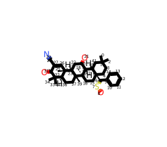 CC1(C)CC[C@]2(C(=S=O)c3ccccc3)CC[C@]3(C)[C@H](C(=O)C[C@@H]4[C@@]5(C)C=C(C#N)C(=O)C(C)(C)[C@@H]5CC[C@]43C)[C@@H]2C1